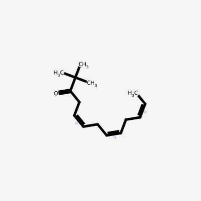 C/C=C\C/C=C\C/C=C\CC(=O)C(C)(C)C